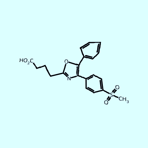 CS(=O)(=O)c1ccc(-c2nc(CCCC(=O)O)oc2-c2ccccc2)cc1